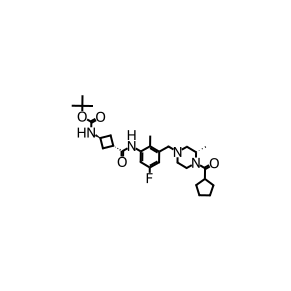 Cc1c(CN2CCN(C(=O)C3CCCC3)[C@@H](C)C2)cc(F)cc1NC(=O)[C@H]1C[C@H](NC(=O)OC(C)(C)C)C1